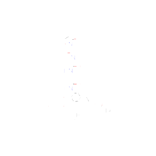 CC(C)(C)C(=O)OC/C=C/c1ccc(OC2CC(O)CC(C(=O)O)O2)c(NC(=O)CCNC(=O)CNC(=O)CN2C(=O)C=CC2=O)c1